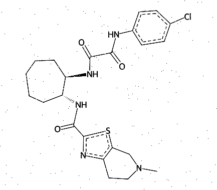 CN1CCc2nc(C(=O)N[C@@H]3CCCCC[C@H]3NC(=O)C(=O)Nc3ccc(Cl)cc3)sc2C1